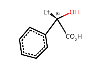 CC[C@@](O)(C(=O)O)c1ccccc1